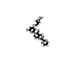 CSN1CC(COc2cc(F)nc(N3CCc4nc(-c5ncccn5)ncc4C3C)c2)C1